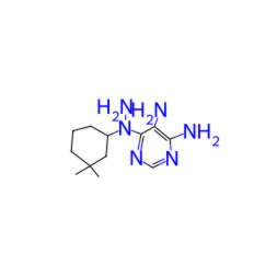 CC1(C)CCCC(N(N)c2ncnc(N)c2N)C1